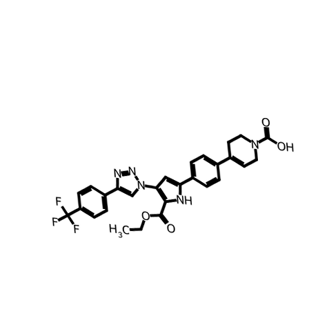 CCOC(=O)c1[nH]c(-c2ccc(C3=CCN(C(=O)O)CC3)cc2)cc1-n1cc(-c2ccc(C(F)(F)F)cc2)nn1